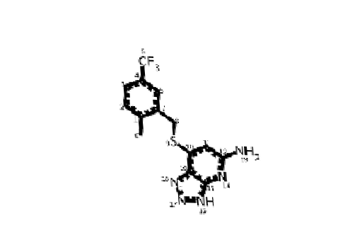 Cc1ccc(C(F)(F)F)cc1CSc1cc(N)nc2[nH]nnc12